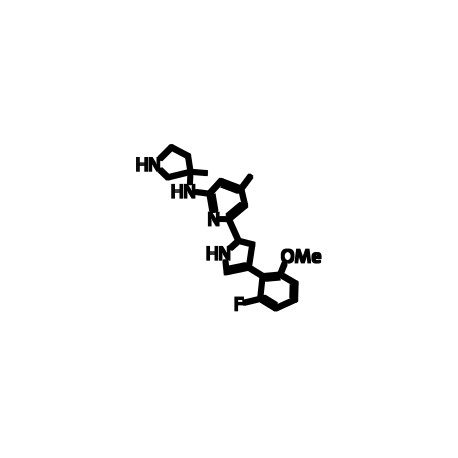 COc1cccc(F)c1C1=CNC(c2cc(C)cc(NC3(C)CCNC3)n2)C1